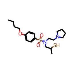 CCCCOc1ccc(S(=O)(=O)N(CCN2CCCC2)CC(C)S)cc1